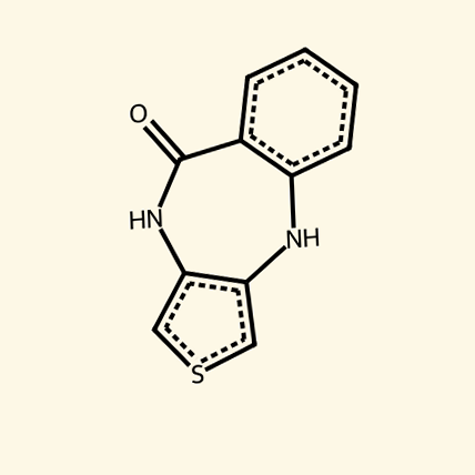 O=C1Nc2cscc2Nc2ccccc21